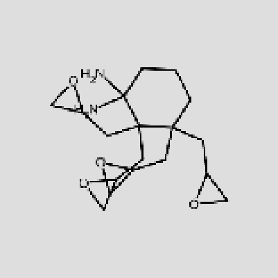 NC1(N)CCCC(CC2CO2)(CC2CO2)C1(CC1CO1)CC1CO1